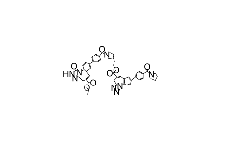 CCOC(=O)C1=Cc2cc(-c3ccc(C(=O)N4CCC(CCOC(=O)C5=Cc6cc(-c7ccc(C(=O)N8CCCC8)cc7)ccc6-n6cnnc6C5)C4)cc3)ccc2-n2c(n[nH]c2=O)C1